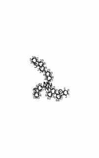 c1ccc2c(c1)oc1c(-c3ccc(-c4nc(-c5ccc6ccc(-c7ccc8c(ccc9c%10ccccc%10sc89)c7)cc6c5)nc(-c5ccc6sc7ccccc7c6c5)n4)c4ccccc34)cccc12